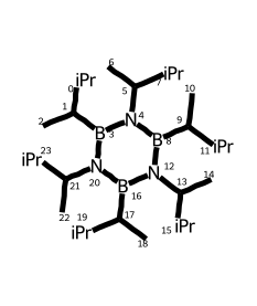 CC(C)C(C)B1N(C(C)C(C)C)B(C(C)C(C)C)N(C(C)C(C)C)B(C(C)C(C)C)N1C(C)C(C)C